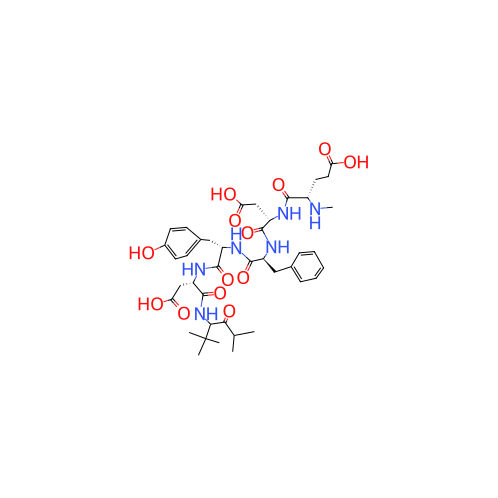 CN[C@@H](CCC(=O)O)C(=O)N[C@@H](CC(=O)O)C(=O)N[C@@H](Cc1ccccc1)C(=O)N[C@@H](Cc1ccc(O)cc1)C(=O)N[C@@H](CC(=O)O)C(=O)NC(C(=O)C(C)C)C(C)(C)C